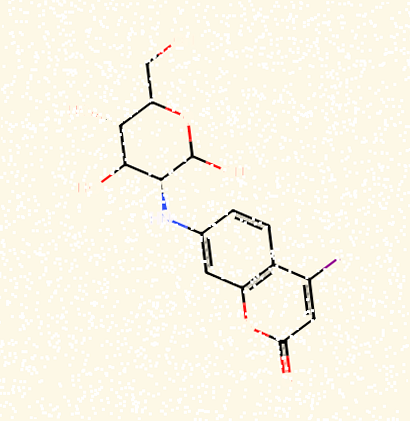 O=c1cc(I)c2ccc(N[C@@H]3C(O)OC(CO)[C@@H](O)C3O)cc2o1